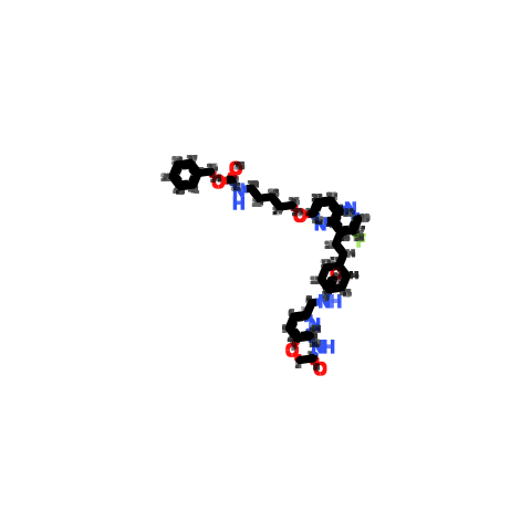 O=C1COc2ccc(CNC34CCC(CCc5c(F)cnc6ccc(OCCCCCNC(=O)OCc7ccccc7)nc56)(CC3)OC4)nc2N1